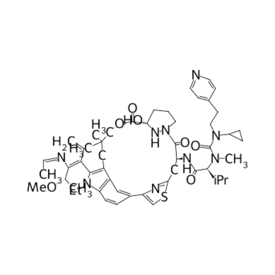 C=C/C(=C(\N=C/C)[C@H](C)OC)c1c2c3cc(ccc3n1CC)-c1csc(n1)C[C@H](NC(=O)[C@H](C(C)C)N(C)C(=O)N(CCc1ccncc1)C1CC1)C(=O)N1CCC[C@@](O)(N1)C(=O)OCC(C)(C)C2